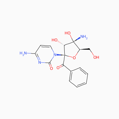 Nc1ccn([C@]2(C(=O)c3ccccc3)O[C@H](CO)[C@@](N)(O)[C@H]2O)c(=O)n1